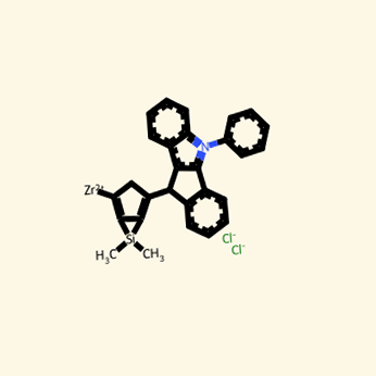 C[Si]1(C)C2=[C]([Zr+2])CC(C3c4ccccc4-c4c3c3ccccc3n4-c3ccccc3)=C21.[Cl-].[Cl-]